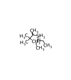 C=C([SiH2]N(CC)CC)C(C)(C)C